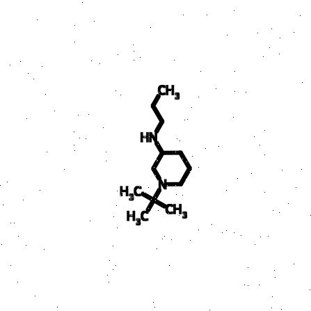 CCCNC1CCCN(C(C)(C)C)C1